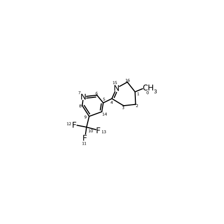 CC1CCC(c2cncc(C(F)(F)F)c2)=NC1